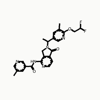 Cc1cncc(C(=O)Nc2nccc3c2CN(C(C)c2cnc(OCC(F)F)c(C)c2)C3=O)c1